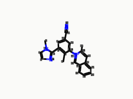 Cc1c(-c2nccn2C)cc(C#N)cc1-[n+]1cc2ccccc2cc1C